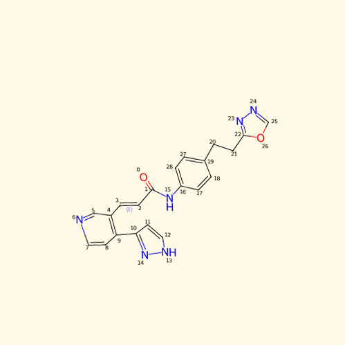 O=C(/C=C/c1cnccc1-c1cc[nH]n1)Nc1ccc(CCc2nnco2)cc1